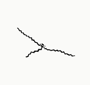 CCCCCCCCCCCCCCCCCC[n+]1ccn(CCCCCCCCCCCCCCCCC)c1CCCCCCCCCC